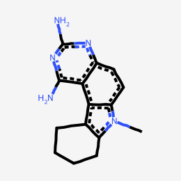 Cn1c2c(c3c4c(N)nc(N)nc4ccc31)CCCC2